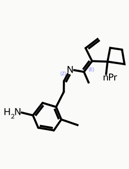 C=C/C(=C(C)\N=C/Cc1cc(N)ccc1C)C1(CCC)CCC1